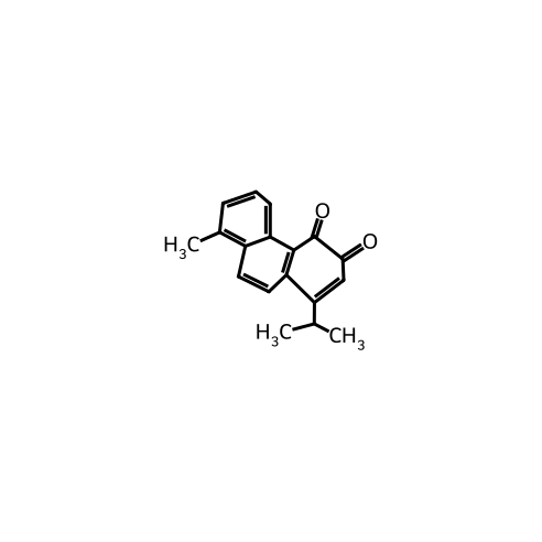 Cc1cccc2c3c(ccc12)C(C(C)C)=CC(=O)C3=O